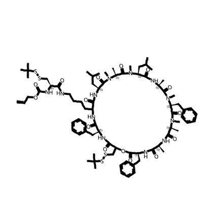 C=CCOC(=O)N[C@@H](CSSC(C)(C)C)C(=O)NCCCCC1NC(=O)[C@H](Cc2ccccc2)NC(=O)C(CSSC(C)(C)C)OC(=O)[C@H](Cc2ccccc2)NC(=O)[C@H](C)NC(=O)[C@H](C)N(C)C(=O)[C@H](Cc2ccccc2)N(C)C(=O)[C@H](C)NC(=O)[C@H](CC(C)C)N(C)C(=O)[C@H](C)N(C)C(=O)[C@H](CC(C)C)NC1=O